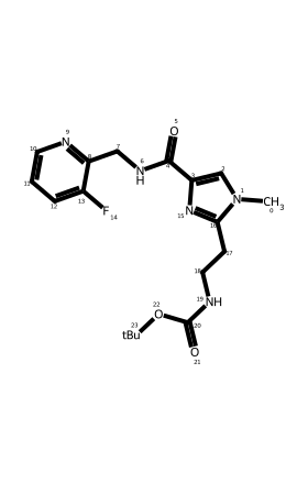 Cn1cc(C(=O)NCc2ncccc2F)nc1CCNC(=O)OC(C)(C)C